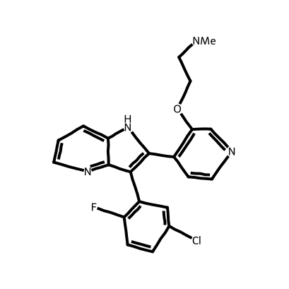 CNCCOc1cnccc1-c1[nH]c2cccnc2c1-c1cc(Cl)ccc1F